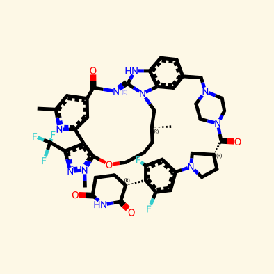 Cc1cc2cc(n1)-c1c(C(F)(F)F)nn(C)c1OCCC[C@@H](C)CN1/C(=N/C2=O)Nc2ccc(CN3CCN(C(=O)[C@@H]4CCN(c5cc(F)c([C@H]6CCC(=O)NC6=O)c(F)c5)C4)CC3)cc21